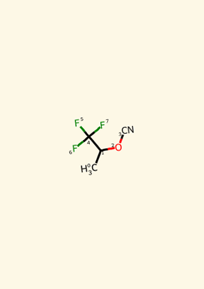 CC(OC#N)C(F)(F)F